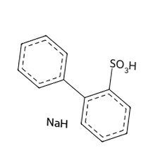 O=S(=O)(O)c1ccccc1-c1ccccc1.[NaH]